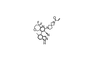 C=CC(=O)N1CC2(CCN(c3nc4c(c(-c5c(C)ccc6[nH]ncc56)c3C#N)COCCC4(F)F)C2)C1